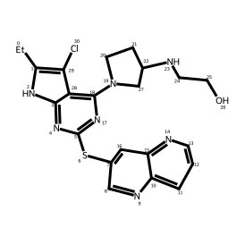 CCc1[nH]c2nc(Sc3cnc4cccnc4c3)nc(N3CCC(NCCO)C3)c2c1Cl